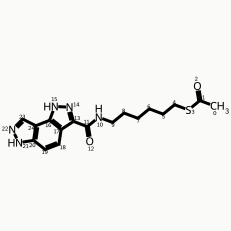 CC(=O)SCCCCCCNC(=O)c1n[nH]c2c1ccc1[nH]ncc12